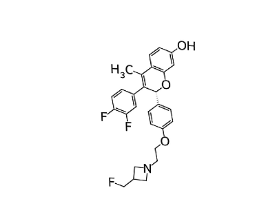 CC1=C(c2ccc(F)c(F)c2)[C@@H](c2ccc(OCCN3CC(CF)C3)cc2)Oc2cc(O)ccc21